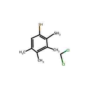 Cc1cc(S)c([SiH3])c(C)c1C.ClCCl